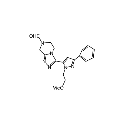 COCCn1nc(-c2ccccc2)cc1-c1nnc2n1CCN(C=O)C2